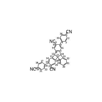 N#Cc1ccc(-c2cc3c(cc2C#N)C2c4cc(-c5ccc(C#N)cc5)c(C#N)cc4C24c2ccccc2C34)cc1